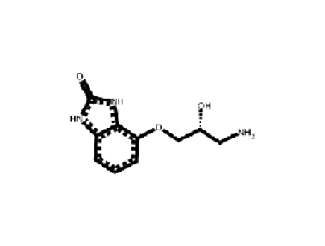 NC[C@@H](O)COc1cccc2[nH]c(=O)[nH]c12